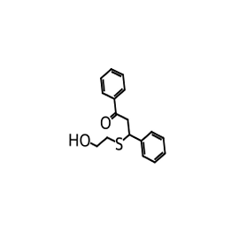 O=C(CC(SCCO)c1ccccc1)c1ccccc1